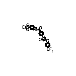 CCS(=O)(=O)c1ccc(CNC(=O)c2ccc(N3CC(Oc4ccc(C(F)(F)F)cc4)CC3=O)cc2)cc1